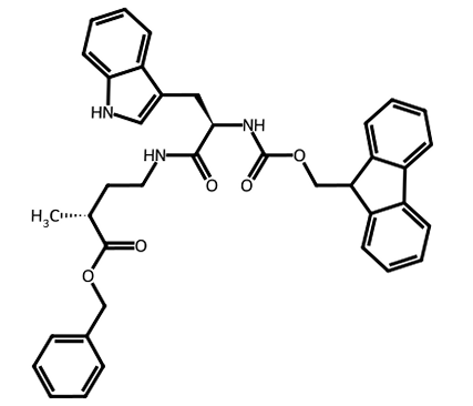 C[C@H](CCNC(=O)[C@@H](Cc1c[nH]c2ccccc12)NC(=O)OCC1c2ccccc2-c2ccccc21)C(=O)OCc1ccccc1